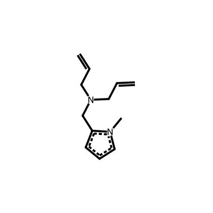 C=CCN(CC=C)Cc1cccn1C